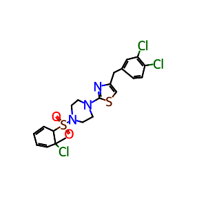 CC1(Cl)C=CC=CC1S(=O)(=O)N1CCN(c2nc(Cc3ccc(Cl)c(Cl)c3)cs2)CC1